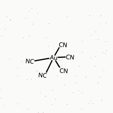 N#[C][Au]([C]#N)([C]#N)([C]#N)[C]#N